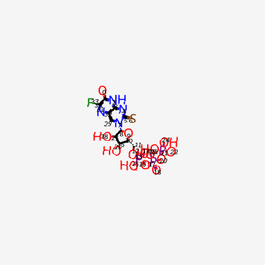 O=c1[nH]c2nc(=S)n([C@@H]3O[C@H](COP(=O)(O)OP(=O)(O)OP(=O)(O)O)[C@H](O)C3O)cc2nc1F